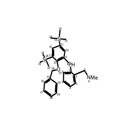 CNCc1ccccc1Pc1cc([Si](C)(C)C)cc([Si](C)(C)C)c1OCc1ccccc1